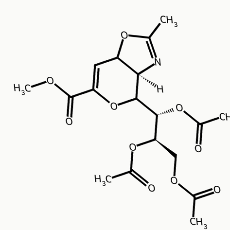 COC(=O)C1=CC2OC(C)=N[C@H]2C([C@H](OC(C)=O)[C@@H](COC(C)=O)OC(C)=O)O1